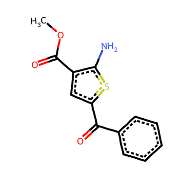 COC(=O)c1cc(C(=O)c2ccccc2)sc1N